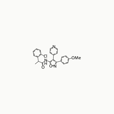 COc1ccc(-c2noc(NC(=O)C(C)c3ccccc3Cl)c2-c2ccncc2)cc1